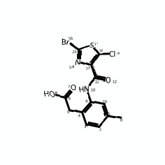 Cc1ccc(CC(=O)O)c(NC(=O)c2nc(Br)sc2Cl)c1